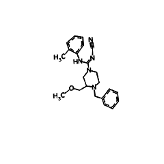 COCC1CN(/C(=N/C#N)Nc2ccccc2C)CCN1Cc1ccccc1